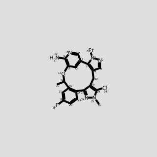 CCn1ncc2c1-c1cnc(N)c(c1)OC(C)c1cc(F)ccc1-c1nn(C)c(Cl)c1C2